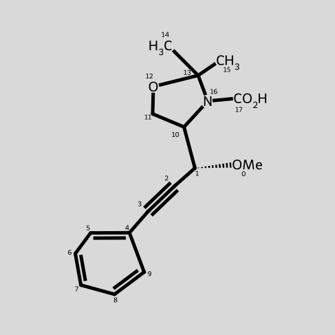 CO[C@H](C#Cc1ccccc1)C1COC(C)(C)N1C(=O)O